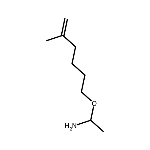 C=C(C)CCCCOC(C)N